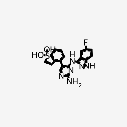 Nc1ncc(-c2cccc3c2C=CS3(O)O)c(Nc2n[nH]c3ccc(F)cc23)n1